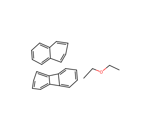 CCOCC.c1ccc2c(c1)-c1ccccc1-2.c1ccc2ccccc2c1